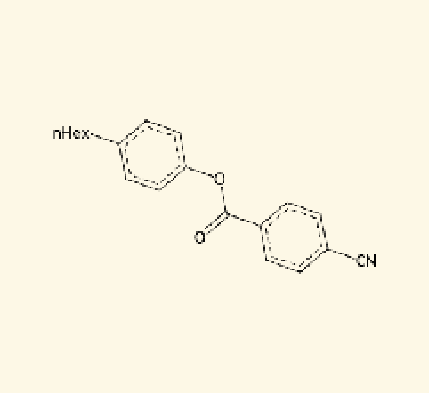 CCCCCCc1ccc(OC(=O)c2ccc(C#N)cc2)cc1